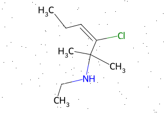 CC/C=C(/Cl)C(C)(C)NCC